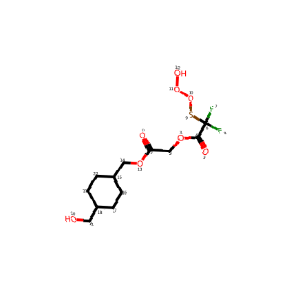 O=C(COC(=O)C(F)(F)SOOO)OCC1CCC(CO)CC1